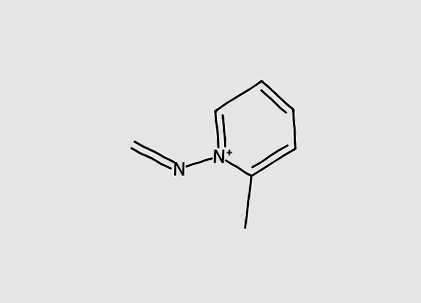 C=N[n+]1ccccc1C